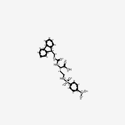 O=C(N[C@@H](CCNS(=O)(=O)c1ccc([N+](=O)[O-])cc1)C(=O)O)OCC1c2ccccc2-c2ccccc21